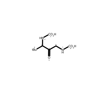 CC(C)(C)C(NC(=O)O)C(=O)CNC(=O)O